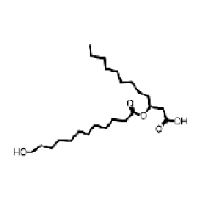 CCCCCCCCCC(CC(=O)O)OC(=O)CCCCCCCCCCCO